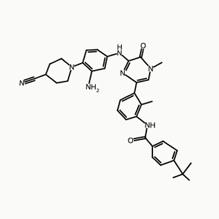 Cc1c(NC(=O)c2ccc(C(C)(C)C)cc2)cccc1-c1cn(C)c(=O)c(Nc2ccc(N3CCC(C#N)CC3)c(N)c2)n1